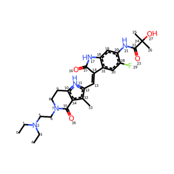 CCN(CC)CCN1CCc2[nH]c(C=C3C(=O)Nc4cc(NC(=O)C(C)(C)O)c(F)cc43)c(C)c2C1=O